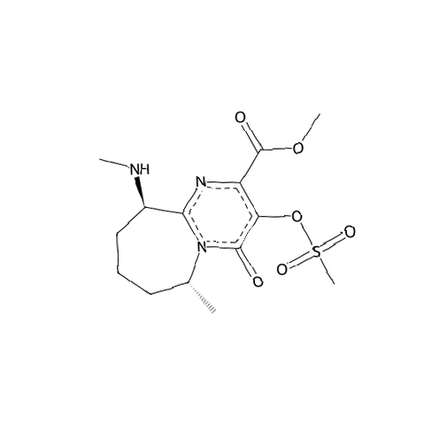 CN[C@@H]1CCC[C@@H](C)n2c1nc(C(=O)OC)c(OS(C)(=O)=O)c2=O